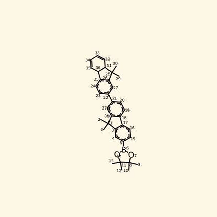 CC1(C)c2cc(B3OC(C)(C)C(C)(C)O3)ccc2-c2ccc(-c3ccc4c(c3)C(C)(C)C3C=CC=CC43)cc21